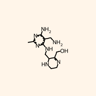 Cc1nc(N)c(CN)c(NCC2NCCN=C2CO)n1